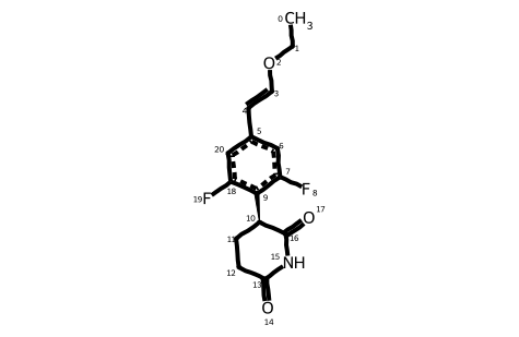 CCOC=Cc1cc(F)c([C@@H]2CCC(=O)NC2=O)c(F)c1